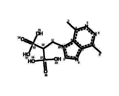 Cc1nnc(C)c2c1ncn2CC(P(=O)(O)O)P(=O)(O)O